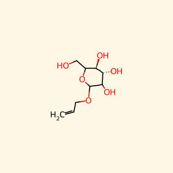 C=CCOC1OC(CO)[C@@H](O)[C@H](O)C1O